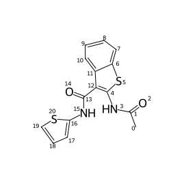 CC(=O)Nc1sc2ccccc2c1C(=O)Nc1cccs1